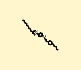 CCCCCCCCCc1cnc(-c2ccc(OC/C=C/C3CCC(CCCCC)CC3)cc2)nc1